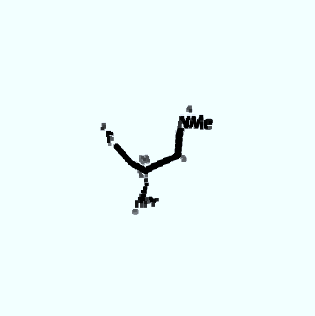 CCC[C@H](F)CNC